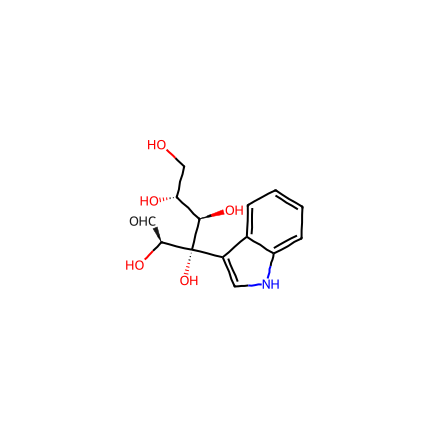 O=C[C@H](O)[C@](O)(c1c[nH]c2ccccc12)[C@H](O)[C@H](O)CO